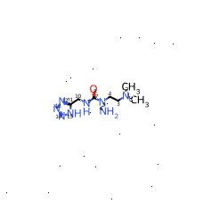 CN(C)CCN(N)C(=O)NCc1nnn[nH]1